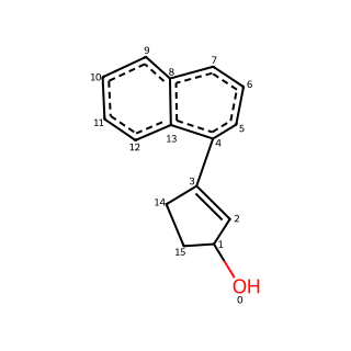 OC1C=C(c2cccc3ccccc23)CC1